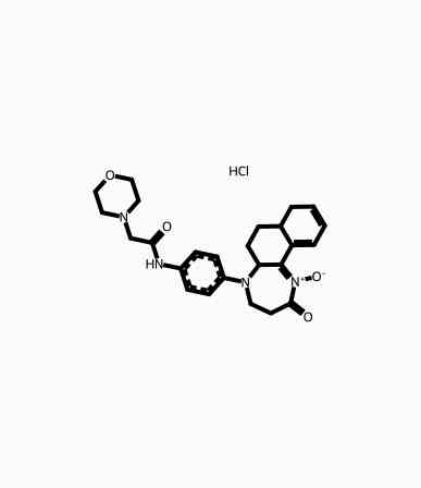 Cl.O=C(CN1CCOCC1)Nc1ccc(N2CCC(=O)[N+]([O-])=C3C4=CC=CCC4CCC32)cc1